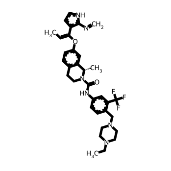 C=Nc1[nH]ccc1/C(=C\C)Oc1ccc2c(c1)[C@H](C)N(C(=O)Nc1ccc(CN3CCN(CC)CC3)c(C(F)(F)F)c1)CC2